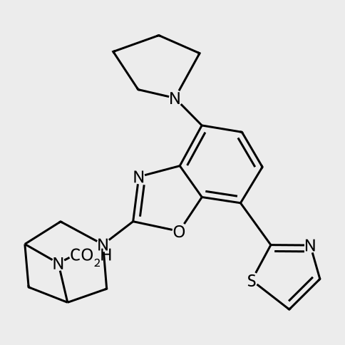 O=C(O)N1C2CC1CN(c1nc3c(N4CCCC4)ccc(-c4nccs4)c3o1)C2